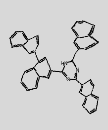 c1ccc2cc(C3=NC(c4ccc5ccccc5c4)NC(c4cc(-c5ccc6ccccc6c5)c5ccccc5c4)=N3)ccc2c1